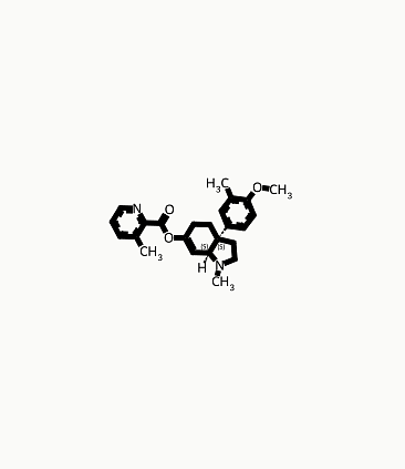 COc1ccc([C@@]23CCC(OC(=O)c4ncccc4C)=C[C@@H]2N(C)CC3)cc1C